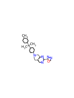 Cc1ccc(C(C)(C)c2ccc(N3CCc4cnc(-c5nnco5)nc4C3)cc2)cc1